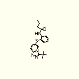 CCCC(=O)Nc1ccccc1Sc1ccc2nnc(C(C)(C)C)n2c1